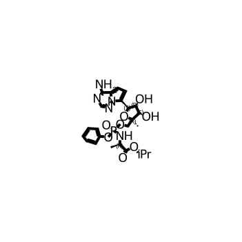 CC(C)OC(=O)[C@@H](C)NP(=O)(OC[C@@]1(C)O[C@@H](c2ccc3c(N)ncnn23)[C@H](O)[C@@H]1O)Oc1ccccc1